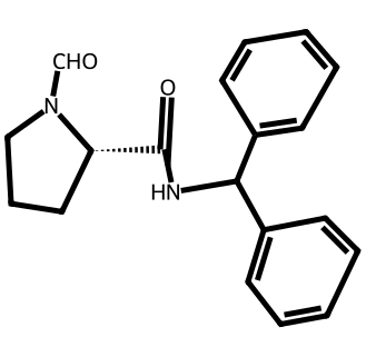 O=CN1CCC[C@H]1C(=O)NC(c1ccccc1)c1ccccc1